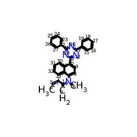 C=C(/C=C\C)N(C)c1ccc(-c2nc(-c3ccccc3)nc(-c3ccccc3)n2)c2ccccc12